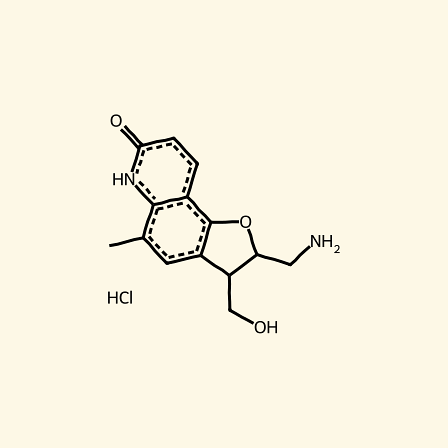 Cc1cc2c(c3ccc(=O)[nH]c13)OC(CN)C2CO.Cl